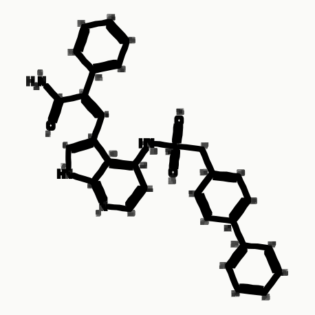 NC(=O)C(=Cc1c[nH]c2nccc(NS(=O)(=O)Cc3ccc(-c4ccccc4)cc3)c12)c1ccccc1